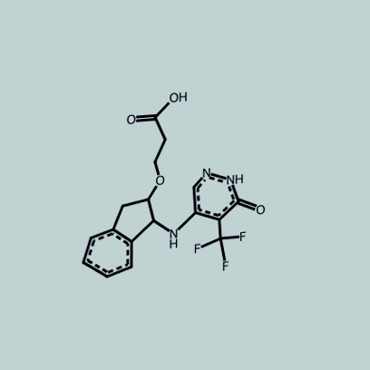 O=C(O)CCOC1Cc2ccccc2C1Nc1cn[nH]c(=O)c1C(F)(F)F